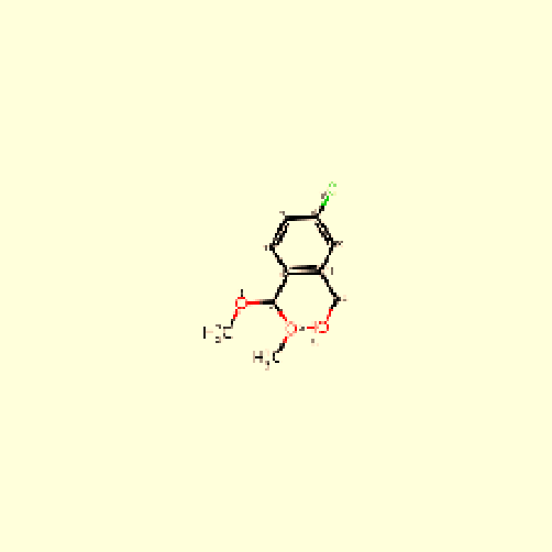 COC(OC)c1ccc(Cl)cc1CO